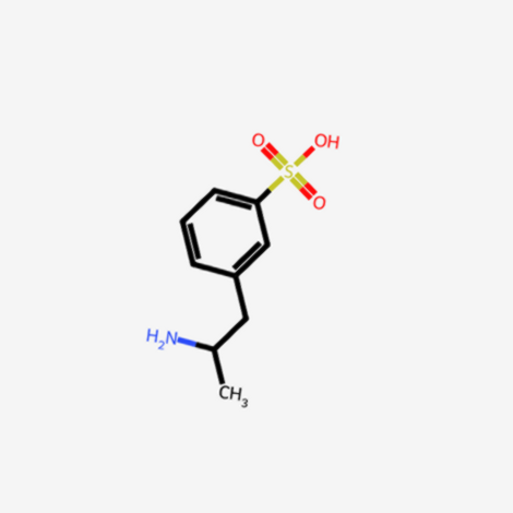 CC(N)Cc1cccc(S(=O)(=O)O)c1